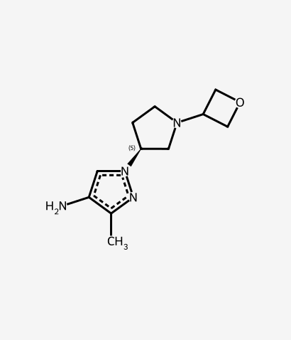 Cc1nn([C@H]2CCN(C3COC3)C2)cc1N